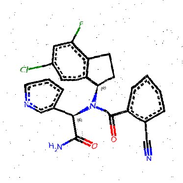 N#Cc1ccccc1C(=O)N([C@@H]1CCc2c(F)cc(Cl)cc21)[C@@H](C(N)=O)c1cccnc1